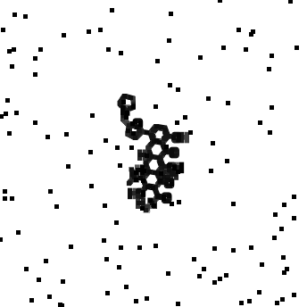 CN(C)C1C(O)=C(C(N)=O)C(=O)[C@@]2(O)C(O)=C3C(=O)c4c(O)ccc(-c5ccc(CN6CCCC6)o5)c4C[C@H]3C[C@@H]12